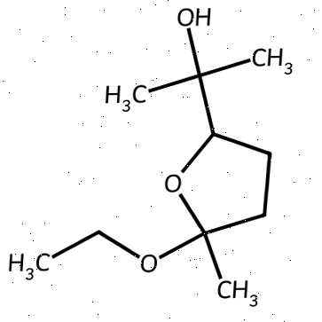 CCOC1(C)CCC(C(C)(C)O)O1